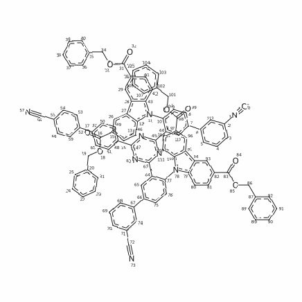 [C-]#[N+]c1cccc(-c2ccc(-n3c4ccc(C(=O)OCc5ccccc5)cc4c4cc(C(=O)OCc5ccccc5)ccc43)c(-c3nc(-c4ccc(-c5ccc(C#N)cc5)cc4)nc(-c4cc(-c5cccc(C#N)c5)ccc4-n4c5ccc(C(=O)OCc6ccccc6)cc5c5cc(C(=O)OCc6ccccc6)ccc54)n3)c2)c1